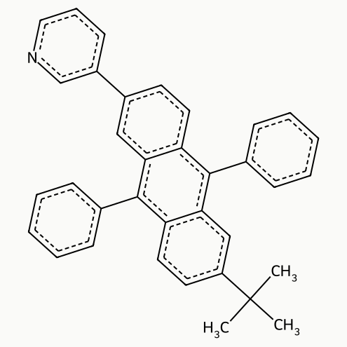 CC(C)(C)c1ccc2c(-c3ccccc3)c3cc(-c4cccnc4)ccc3c(-c3ccccc3)c2c1